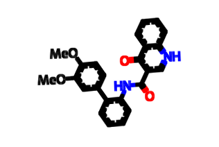 COc1ccc(-c2ccccc2NC(=O)c2c[nH]c3ccccc3c2=O)cc1OC